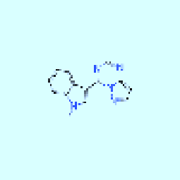 Cn1cc(-c2ncnc3ccnn23)c2ccccc21